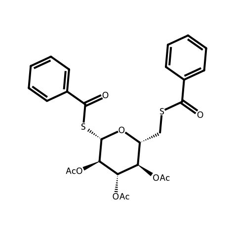 CC(=O)O[C@@H]1[C@@H](OC(C)=O)[C@H](SC(=O)c2ccccc2)O[C@H](CSC(=O)c2ccccc2)[C@H]1OC(C)=O